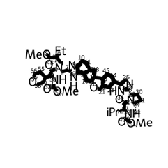 CC[C@H](COC)CN(Cc1nc2ccc3cc4c(cc3c2[nH]1)OCc1cc(-c2cnc([C@@H]3CC[C@H](C)N3C(=O)[C@@H](NC(=O)OC)C(C)C)[nH]2)ccc1-4)C(=O)[C@@H](NC(=O)OC)C1CCOCC1